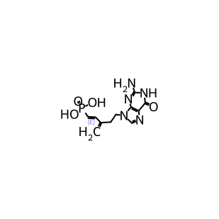 C=C(/C=C/P(=O)(O)O)CCn1cnc2c(=O)[nH]c(N)nc21